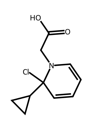 O=C(O)CN1C=CC=CC1(Cl)C1CC1